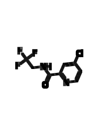 O=C(NCC(F)(F)F)c1cc(Cl)ccn1